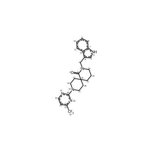 O=C1N(Cc2c[nH]c3ccccc23)CCCC12CCN(c1nccc(C(F)(F)F)n1)CC2